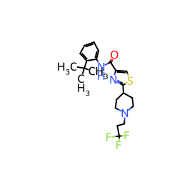 CC(C)(C)c1ccccc1NC(=O)c1csc(C2CCN(CCC(F)(F)F)CC2)n1